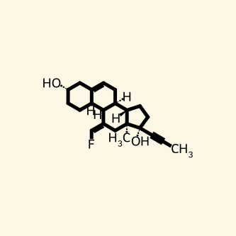 CC#C[C@]1(O)CC[C@H]2[C@@H]3CC=C4C[C@@H](O)CC[C@@H]4[C@H]3/C(=C/F)C[C@@]21C